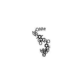 COC[C@H]1CN(c2cc(C)c3c4c(c(=O)oc3c2C)CN(C(=O)c2ccc(C(=O)NS(=O)(=O)N3CCCC3)c(F)c2)CC4)CCN1C